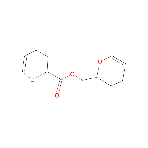 O=C(OCC1CCC=CO1)C1CCC=CO1